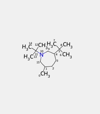 CC1CCC(C(C)(C)C)CN(C(C)(C)C)C1